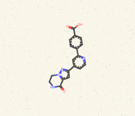 O=C(O)c1ccc(-c2cc(-c3cc4n(n3)CCNC4=O)ccn2)cc1